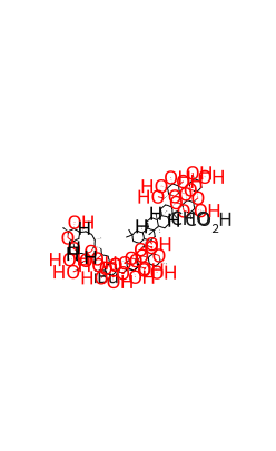 CC[C@H](C)[C@H](C[C@H](O)CC(=O)O[C@H]1[C@@H](O)[C@@H](C)O[C@@H](OC(=O)[C@]23CCC(C)(C)C[C@H]2C2=CC[C@@H]4[C@@]5(C)CC[C@H](O[C@@H]6O[C@H](C(=O)O)[C@@H](O)[C@H](O[C@H]7C[C@@H](O)[C@H](O)CO7)[C@H]6O[C@@H]6O[C@H](CO)[C@H](O)[C@H](O)[C@H]6O)[C@@](C)(C=O)[C@@H]5CC[C@@]4(C)[C@]2(C)C[C@H]3O)[C@@H]1O[C@@H]1O[C@@H](C)[C@H](O[C@@H]2OC[C@@H](O)[C@H](O)[C@H]2O)[C@@H](O)[C@H]1O)OC(=O)C[C@@H](O)C[C@@H]1O[C@@H]2O[C@@H](CO)[C@H](O)[C@H]2O[C@H]2C[C@H](CC[C@@H]1C)[C@@H](O)[C@H](C)O2